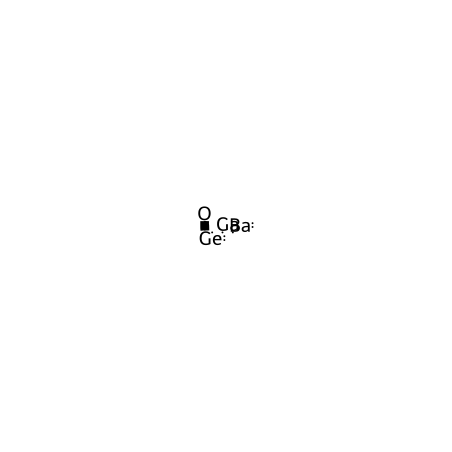 [Ba].[Ga].[O]=[Ge]